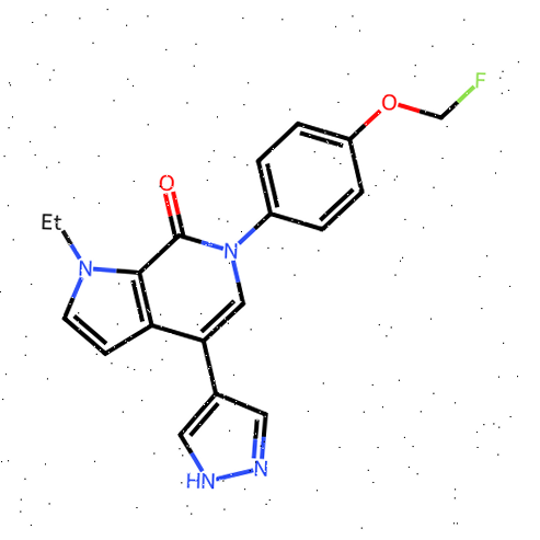 CCn1ccc2c(-c3cn[nH]c3)cn(-c3ccc(OCF)cc3)c(=O)c21